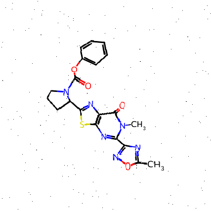 Cc1nc(-c2nc3sc(C4CCCN4C(=O)Oc4ccccc4)nc3c(=O)n2C)no1